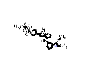 C=CO/C(=C\C)c1cccc(Nc2ccnc3[nH]c(C4=CCN(C(=O)OC(C)(C)C)CC4)cc23)c1